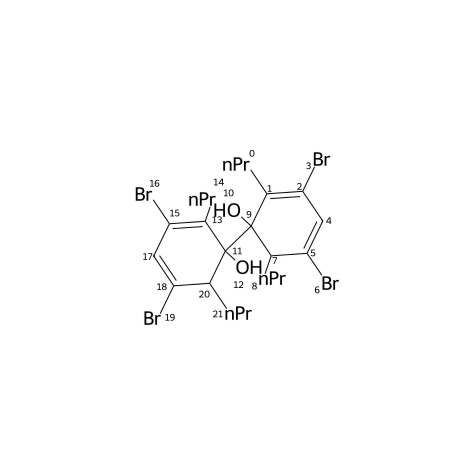 CCCC1=C(Br)C=C(Br)C(CCC)C1(O)C1(O)C(CCC)=C(Br)C=C(Br)C1CCC